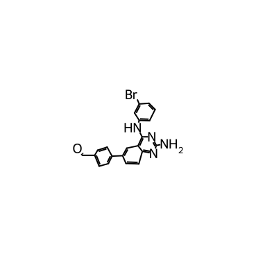 Nc1nc(Nc2cccc(Br)c2)c2cc(-c3ccc(C=O)cc3)ccc2n1